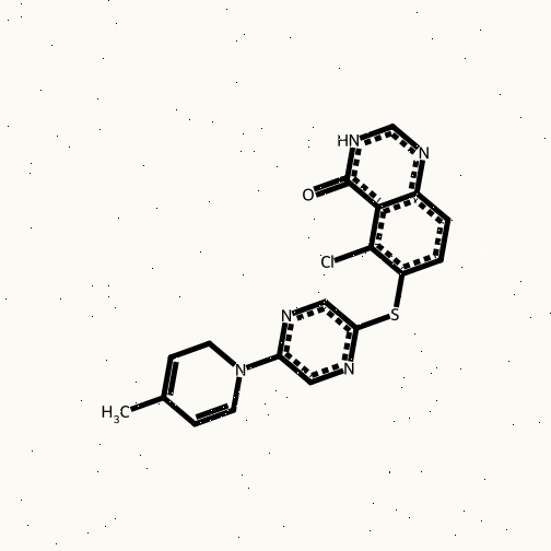 CC1=CCN(c2cnc(Sc3ccc4nc[nH]c(=O)c4c3Cl)cn2)C=C1